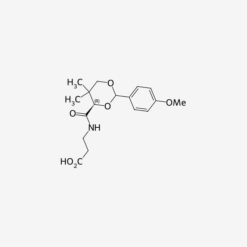 COc1ccc(C2OCC(C)(C)[C@H](C(=O)NCCC(=O)O)O2)cc1